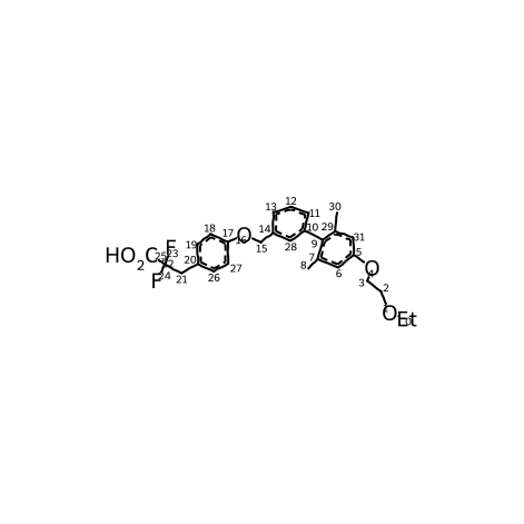 CCOCCOc1cc(C)c(-c2cccc(COc3ccc(CC(F)(F)C(=O)O)cc3)c2)c(C)c1